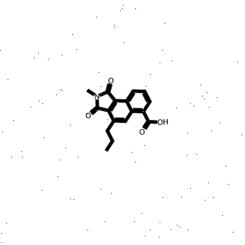 CCCc1cc2c(C(=O)O)cccc2c2c1C(=O)N(C)C2=O